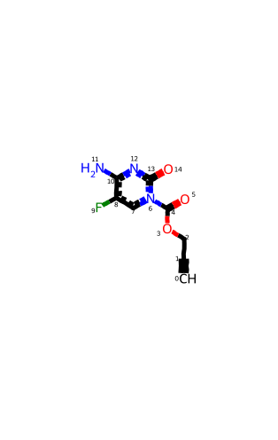 C#CCOC(=O)n1cc(F)c(N)nc1=O